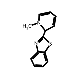 CN1C=CC=CC1c1nc2ccccc2s1